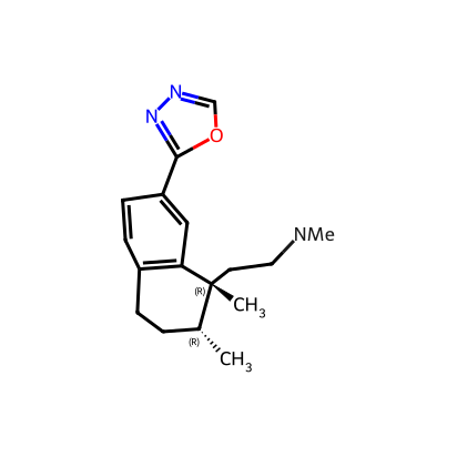 CNCC[C@@]1(C)c2cc(-c3nnco3)ccc2CC[C@H]1C